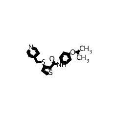 CC(C)Oc1ccc(NC(=O)c2sccc2SCc2ccncc2)cc1